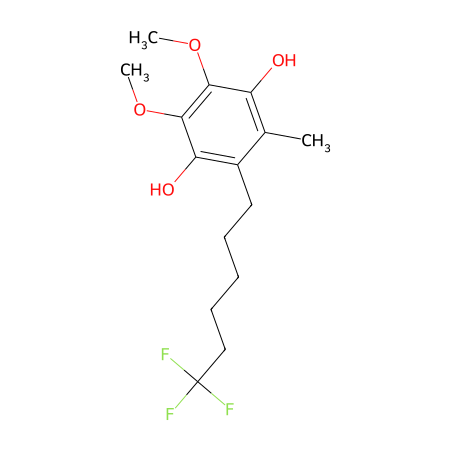 COc1c(O)c(C)c(CCCCCC(F)(F)F)c(O)c1OC